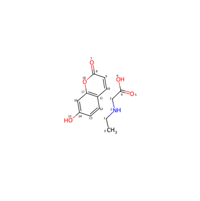 CCNCC(=O)O.O=c1ccc2ccc(O)cc2o1